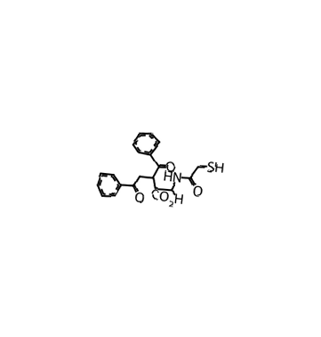 O=C(CS)NC(CC(CC(=O)c1ccccc1)C(=O)c1ccccc1)C(=O)O